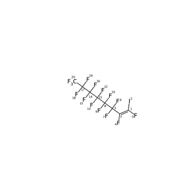 FC(I)=C(F)C(F)(F)C(F)(F)C(F)(F)C(F)(F)C(F)(F)C(F)(F)F